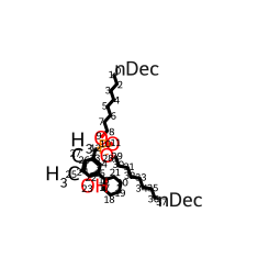 CCCCCCCCCCCCCCCCCCOP(=O)(Cc1cc(C2CCCCC2)c(O)c(C)c1C)OCCCCCCCCCCCCCCCCCC